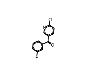 O=C(c1ccc(Cl)nc1)c1cccc(F)c1